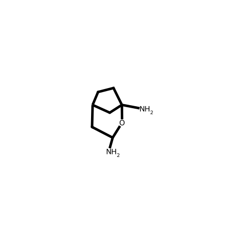 NC1CC2CCC(N)(C2)O1